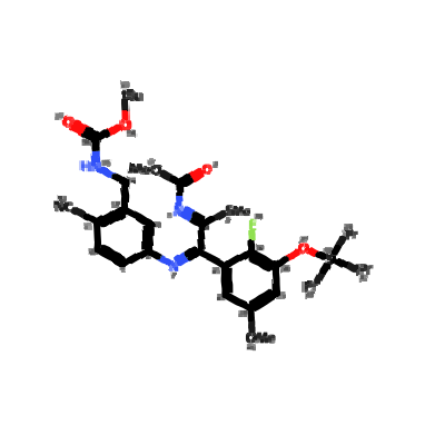 COC(=O)N=C(SC)C(=Nc1ccc(C#N)c(CNC(=O)OC(C)(C)C)c1)c1cc(OC)cc(O[Si](C(C)C)(C(C)C)C(C)C)c1F